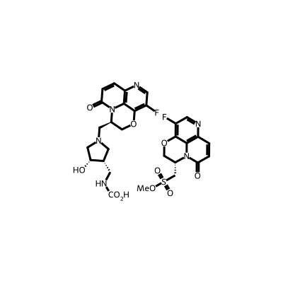 COS(=O)(=O)C[C@@H]1COc2c(F)cnc3ccc(=O)n1c23.O=C(O)NC[C@H]1CN(C[C@@H]2COc3c(F)cnc4ccc(=O)n2c34)C[C@H]1O